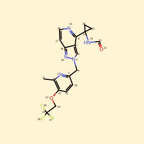 Cc1nc(Cn2cc3c(C4(NC=O)CC4)nccc3n2)ccc1OCC(F)(F)F